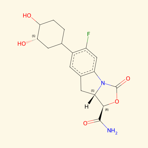 NC(=O)[C@@H]1OC(=O)N2c3cc(F)c(C4CCC(O)[C@@H](O)C4)cc3C[C@@H]12